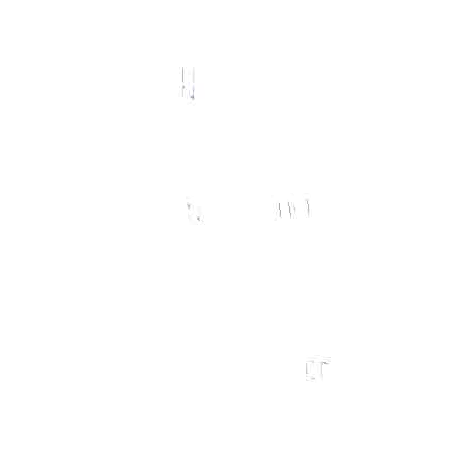 Cl.FC(F)(F)c1cccc(N2CCCNCC2)c1